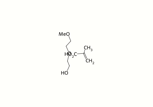 C=C(C)C(=O)O.COCCOCCO